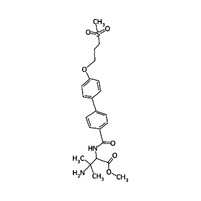 COC(=O)C(NC(=O)c1ccc(-c2ccc(OCCCS(C)(=O)=O)cc2)cc1)C(C)(C)N